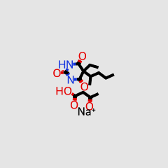 CC(=O)CC(=O)O.CCCC(C)C1(CC)C(=O)N=C([O-])NC1=O.[Na+]